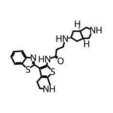 O=C(CCN[C@H]1C[C@H]2CNC[C@H]2C1)Nc1sc2c(c1-c1nc3ccccc3s1)CCNC2